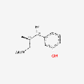 CC[C@H](c1cccc(O)c1)[C@H](C)CNC